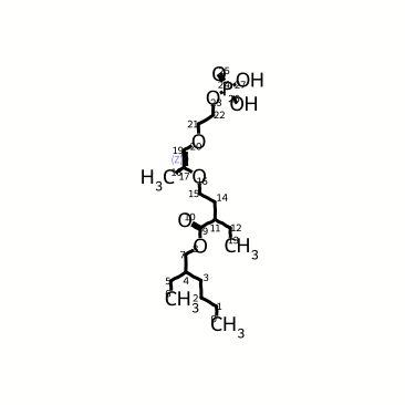 CCCCC(CC)COC(=O)C(CC)CCO/C(C)=C\OCCOP(=O)(O)O